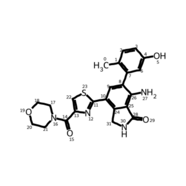 Cc1ccc(O)cc1-c1cc(-c2nc(C(=O)N3CCOCC3)cs2)c2c(c1N)C(=O)NC2